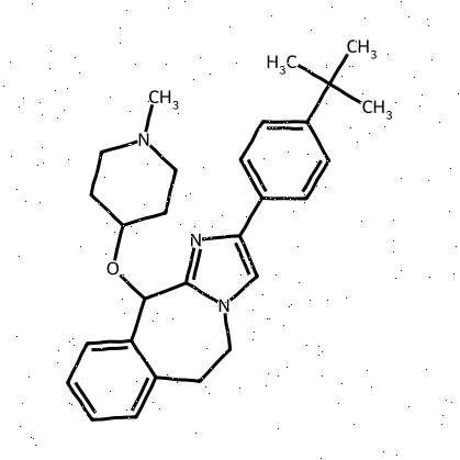 CN1CCC(OC2c3ccccc3CCn3cc(-c4ccc(C(C)(C)C)cc4)nc32)CC1